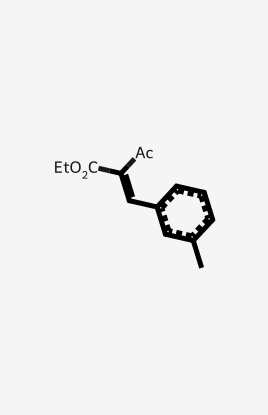 CCOC(=O)/C(=C/c1cccc(C)c1)C(C)=O